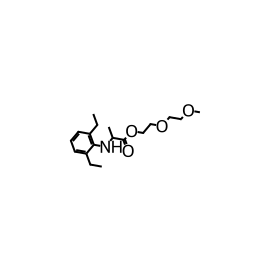 CCc1cccc(CC)c1NC(C)C(=O)OCCOCCOC